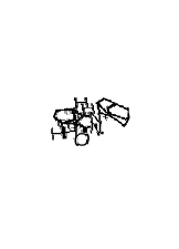 CN1C(=O)[C@H]2[C@@H]3CC[C@@H](C3)[C@H]2[N+]1=C1C2CC3CC(C2)CC1C3